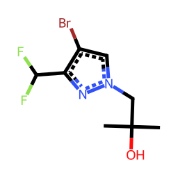 CC(C)(O)Cn1cc(Br)c(C(F)F)n1